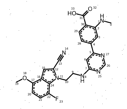 CNc1cc(-c2cc(NCCn3c(C#N)cc4c(OC)ccc(F)c43)ncn2)ccc1C(=O)O